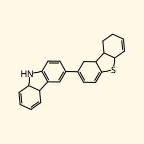 C1=CC2Nc3ccc(C4=CC=C5SC6C=CCCC6C5C4)cc3C2C=C1